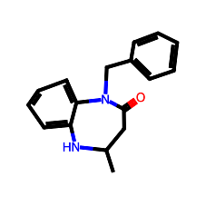 CC1CC(=O)N(Cc2ccccc2)c2ccccc2N1